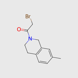 Cc1ccc2c(c1)CN(C(=O)CBr)CC2